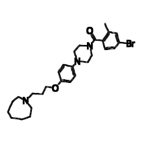 Cc1cc(Br)ccc1C(=O)N1CCN(c2ccc(OCCCN3CCCCCCC3)cc2)CC1